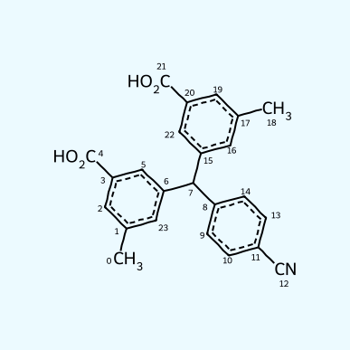 Cc1cc(C(=O)O)cc(C(c2ccc(C#N)cc2)c2cc(C)cc(C(=O)O)c2)c1